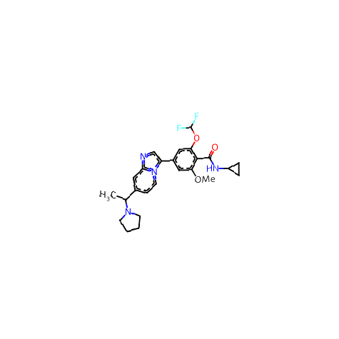 COc1cc(-c2cnc3cc(C(C)N4CCCC4)ccn23)cc(OC(F)F)c1C(=O)NC1CC1